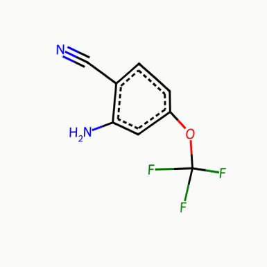 N#Cc1ccc(OC(F)(F)F)cc1N